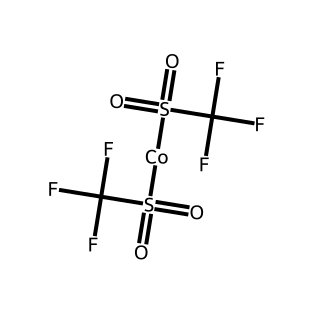 O=[S](=O)([Co][S](=O)(=O)C(F)(F)F)C(F)(F)F